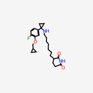 O=C1CCC(CCCCCCCNC2(c3ccc(F)c(OCC4CC4)c3)CC2)C(=O)N1